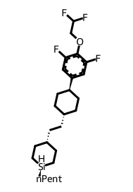 CCCCC[Si@H]1CC[C@H](CC[C@H]2CC[C@H](c3cc(F)c(OCC(F)F)c(F)c3)CC2)CC1